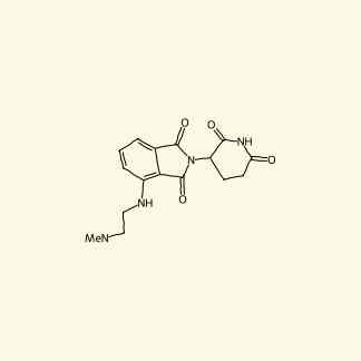 CNCCNc1cccc2c1C(=O)N(C1CCC(=O)NC1=O)C2=O